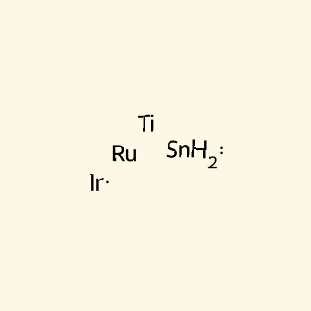 [Ir].[Ru].[SnH2].[Ti]